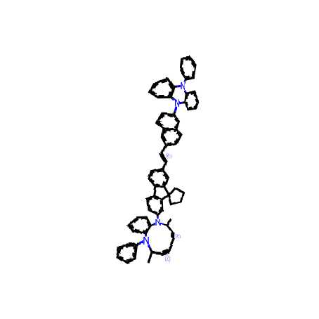 CC1/C=C\C=C/C(C)N(c2ccc3c(c2)C2(CCCC2)c2cc(/C=C/c4ccc5cc(N6c7ccccc7N(c7ccccc7)c7ccccc76)ccc5c4)ccc2-3)c2ccccc2N1c1ccccc1